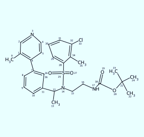 Cc1cnccc1-c1cccc(C(C)N(CCNC(=O)OC(C)(C)C)S(=O)(=O)c2cccc(Cl)c2C)c1